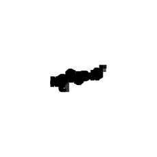 Cc1c(OCCCN2CCC(F)CC2)cccc1-c1cccc(-c2ccc(CN(C)C)c(Cl)c2)c1C